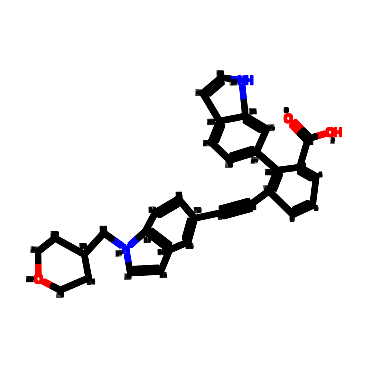 O=C(O)c1cccc(C#Cc2ccc3c(ccn3CC3CCOCC3)c2)c1-c1ccc2cc[nH]c2c1